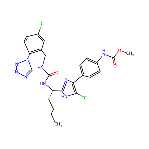 CCCC[C@H](NC(=O)NCc1cc(Cl)ccc1-n1cnnn1)c1nc(-c2ccc(NC(=O)OC)cc2)c(Cl)[nH]1